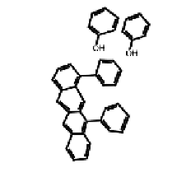 Oc1ccccc1.Oc1ccccc1.c1ccc(-c2cccc3cc4cc5ccccc5c(-c5ccccc5)c4cc23)cc1